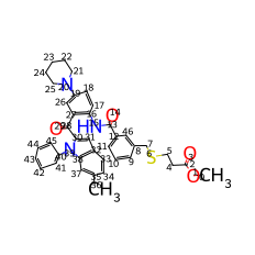 COC(=O)CCSCc1cccc(C(=O)Nc2ccc(N3CCCCC3)cc2C(=O)c2cc3ccc(C)cc3n2-c2ccccc2)c1